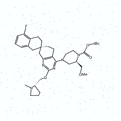 COC[C@H]1CN(c2nc(OC[C@@H]3CCCN3C)nc3c2CC[C@]2(CCc4c(F)cccc4C2)C3)CCN1C(=O)OC(C)(C)C